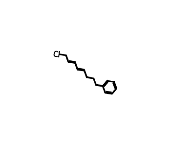 ClCC=CC=CCCCc1ccccc1